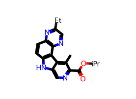 CCc1cnc2c(ccc3[nH]c4cnc(C(=O)OC(C)C)c(C)c4c32)n1